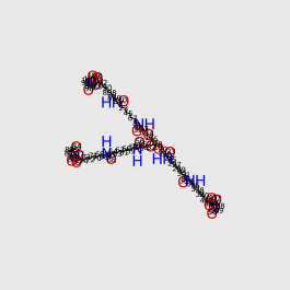 O=C(CCCCCCCNC(=O)CCOCCC(COCCC(=O)NCCCCCCCC(=O)NCCCCCCCC(=O)ON1C(=O)CCC1=O)OCCC(=O)NCCCCCCCC(=O)NCCCCCCCC(=O)ON1C(=O)CCC1=O)NCCCCCCCC(=O)ON1C(=O)CCC1=O